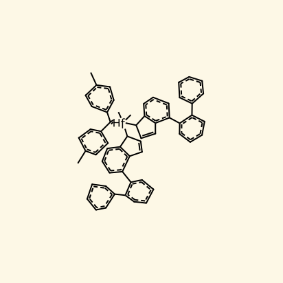 Cc1ccc([C](c2ccc(C)cc2)=[Hf]([CH3])([CH3])([CH]2C=Cc3c(-c4ccccc4-c4ccccc4)cccc32)[CH]2C=Cc3c(-c4ccccc4-c4ccccc4)cccc32)cc1